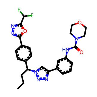 CCCC(c1ccc(-c2nnc(C(F)F)o2)cc1)n1cc(-c2cccc(NC(=O)N3CCOCC3)c2)nn1